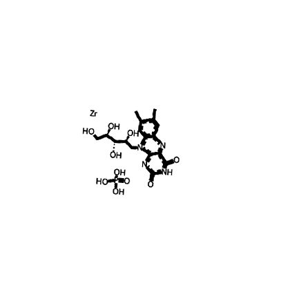 Cc1cc2nc3c(=O)[nH]c(=O)nc-3n(C[C@H](O)[C@H](O)[C@H](O)CO)c2cc1C.O=P(O)(O)O.[Zr]